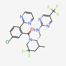 CC1CC(F)(F)CN(C(=O)c2cc(Cl)ccc2-c2ncccn2)[C@@H]1CNc1ncc(C(F)(F)F)cn1